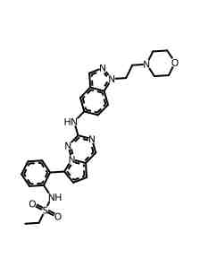 CCS(=O)(=O)Nc1ccccc1-c1ccc2cnc(Nc3ccc4c(cnn4CCN4CCOCC4)c3)nn12